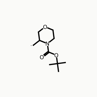 [CH2]C1COCCN1C(=O)OC(C)(C)C